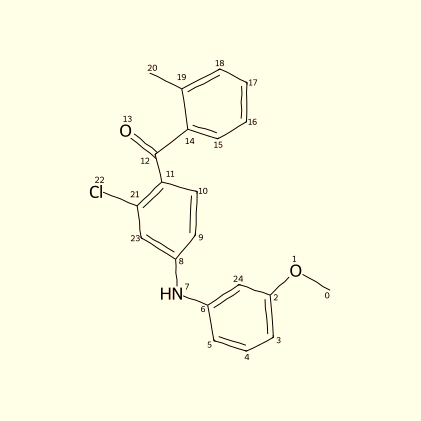 COc1cccc(Nc2ccc(C(=O)c3ccccc3C)c(Cl)c2)c1